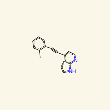 Cc1ccccc1C#Cc1ccnc2[nH]ccc12